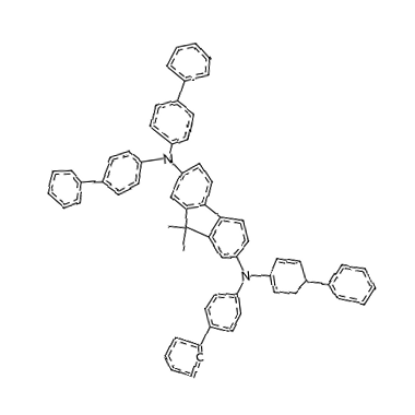 CC1(C)c2cc(N(C3=CCC(c4ccccc4)C=C3)c3ccc(-c4ccccc4)cc3)ccc2-c2ccc(N(c3ccc(-c4ccccc4)cc3)c3ccc(-c4ccccc4)cc3)cc21